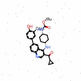 COc1cc(-c2ccc3ncc(C(=O)C4CC4)c(N[C@H]4CC[C@@H](NC(=O)OC(C)(C)C)CC4)c3c2)ccc1O